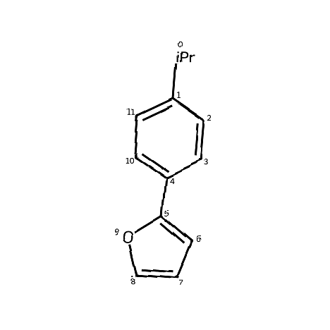 CC(C)c1ccc(-c2cc[c]o2)cc1